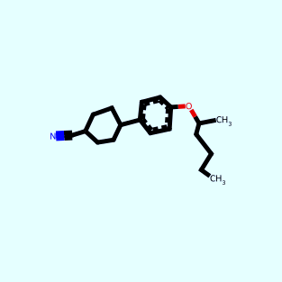 CCCCC(C)Oc1ccc(C2CCC(C#N)CC2)cc1